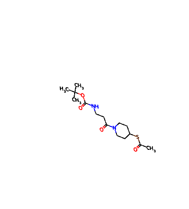 CC(=O)SC1CCN(C(=O)CCNC(=O)OC(C)(C)C)CC1